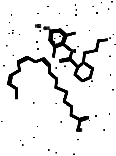 CC/C=C\C/C=C\C/C=C\CCCCCCCC(=O)O.CCCCN1CCCCC1C(=O)Nc1c(C)cccc1C.Cl.O